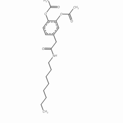 CCCCCCCCNC(=O)Cc1ccc(OC(C)=O)c(OC(C)=O)c1